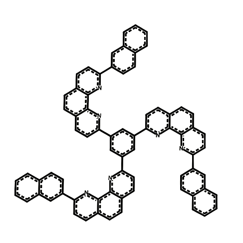 c1ccc2cc(-c3ccc4ccc5ccc(-c6cc(-c7ccc8ccc9ccc(-c%10ccc%11ccccc%11c%10)nc9c8n7)cc(-c7ccc8ccc9ccc(-c%10ccc%11ccccc%11c%10)nc9c8n7)c6)nc5c4n3)ccc2c1